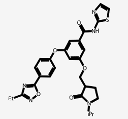 CCc1noc(-c2ccc(Oc3cc(OCC4CCN(C(C)C)C4=O)cc(C(=O)Nc4nccs4)c3)cc2)n1